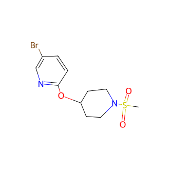 CS(=O)(=O)N1CCC(Oc2ccc(Br)cn2)CC1